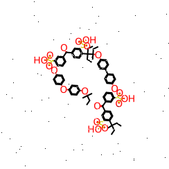 CCC(C)(C)Oc1ccc(Oc2ccc(Oc3ccc(C(=O)c4ccc(C(CC)(CC)C(C)(CC)Oc5ccc(-c6ccc(Oc7ccc(C(=O)c8ccc(C(C)(CC)CC)c(S(=O)(=O)O)c8)cc7S(=O)(=O)O)cc6)cc5)c(S(=O)(=O)O)c4)cc3S(=O)(=O)O)cc2)cc1